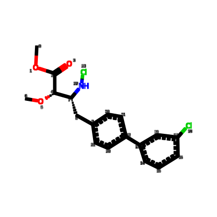 COC(=O)[C@@H](OC)[C@@H](Cc1ccc(-c2cccc(Cl)c2)cc1)NCl